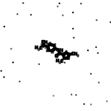 Cc1cc(C(=O)Nc2ccc(C(C)C)cc2)n(C)n1